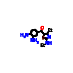 CCNc1nc(CC)c(C(=O)c2ccc(N)c(N)c2)s1